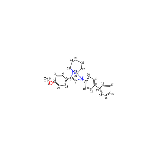 CCOc1ccc(-c2cn(-c3ccc(-c4ccccc4)cc3)c3[n+]2CCCCC3)cc1